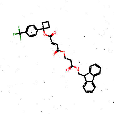 O=C(/C=C/C(=O)OC1(c2ccc(C(F)(F)F)cc2)CCC1)OCCC(=O)OCC1c2ccccc2-c2ccccc21